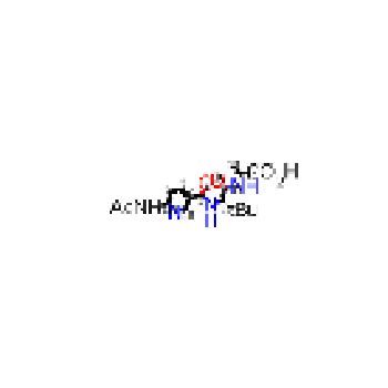 CC(=O)Nc1ccc(C(=O)N[C@H](C(=O)N[C@@H](C)C(=O)O)C(C)(C)C)cn1